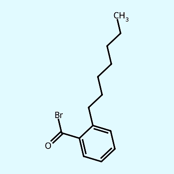 CCCCCCCc1ccccc1C(=O)Br